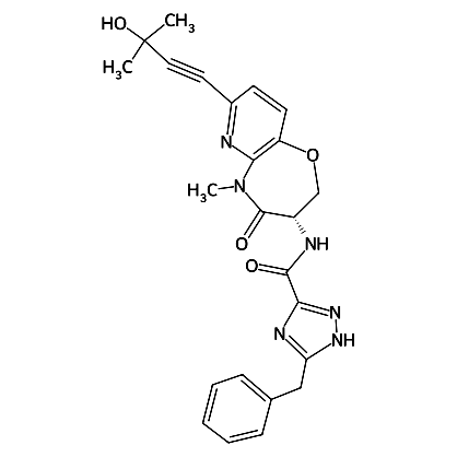 CN1C(=O)[C@@H](NC(=O)c2n[nH]c(Cc3ccccc3)n2)COc2ccc(C#CC(C)(C)O)nc21